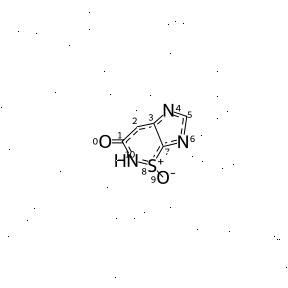 O=c1cc2ncnc-2[s+]([O-])[nH]1